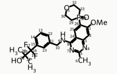 COc1cc2nc(C)nc(NCc3cccc(C(F)(F)C(C)(C)O)c3)c2cc1P1(=O)CCOCC1